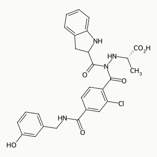 C[C@H](NN(C(=O)c1ccc(C(=O)NCc2cccc(O)c2)cc1Cl)C(=O)C1Cc2ccccc2N1)C(=O)O